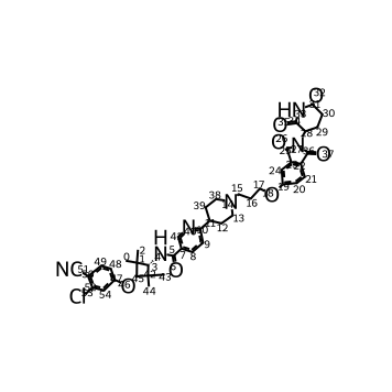 CC1(C)[C@H](NC(=O)c2ccc(C3CCN(CCCOc4ccc5c(c4)C(=O)N(C4CCC(=O)NC4=O)C5=O)CC3)nc2)C(C)(C)[C@H]1Oc1ccc(C#N)c(Cl)c1